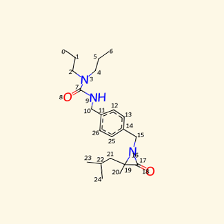 CCCN(CCC)C(=O)NCc1ccc(CN2C(=O)C2(C)CC(C)C)cc1